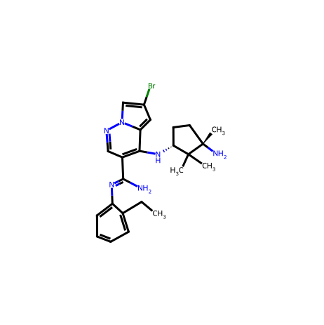 CCc1ccccc1/N=C(\N)c1cnn2cc(Br)cc2c1N[C@@H]1CC[C@](C)(N)C1(C)C